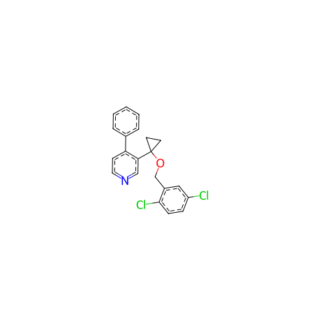 Clc1ccc(Cl)c(COC2(c3cnccc3-c3ccccc3)CC2)c1